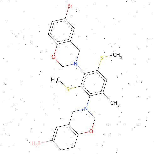 BC1=CC2=C(CC1)OCN(c1c(C)cc(SC)c(N3COc4ccc(Br)cc4C3)c1SC)C2